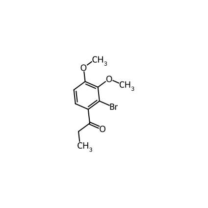 CCC(=O)c1ccc(OC)c(OC)c1Br